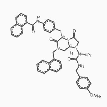 CCCN(C(=O)NCc1ccc(OC)cc1)N1CC(=O)N2[C@@H](Cc3ccc(NC(=O)c4cccc5ccccc45)cc3)C(=O)N(Cc3cccc4ccccc34)C[C@@H]21